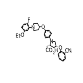 CCOc1ccc(F)c(N2CCC(Oc3ccc(N4C[C@H](Oc5ccccc5C#N)C[C@@H]4CC(=O)O)cc3)CC2)c1